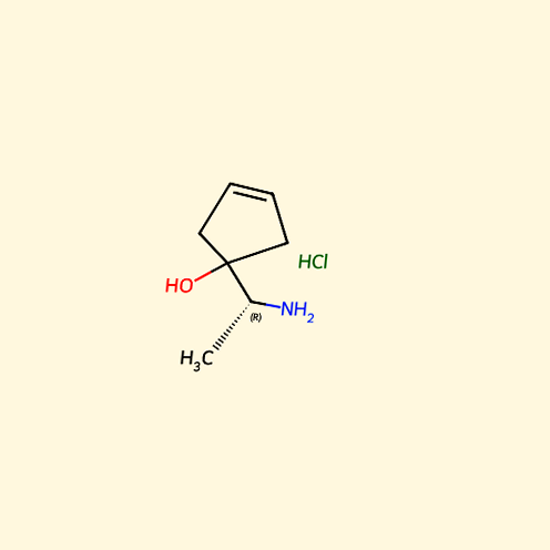 C[C@@H](N)C1(O)CC=CC1.Cl